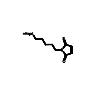 CCCCCCCCCCCCN1C(=O)C=CC1=S